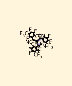 Cc1c(F)c(F)c(C(F)(F)F)c(F)c1/C(C#N)=C1/C(=C(C#N)c2c(F)c(C(F)(F)F)c(F)c(F)c2C(F)(F)F)/C1=C(/C#N)c1c(F)c(C(F)(F)F)c(F)c(C)c1C(F)(F)F